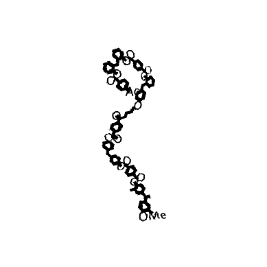 COc1ccc(C(C)c2ccc(OC(=O)c3ccc(C(=O)Oc4ccc(Cc5ccc(OC(=O)c6ccc(C(=O)CCCCOc7ccc(Cc8ccccc8OC(=O)c8ccc(C(=O)Oc9ccccc9Cc9ccccc9OC(=O)c9ccc(C(C)=O)cc9)cc8)cc7)cc6)cc5)cc4)cc3)c(C)c2)cc1C